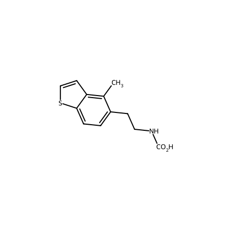 Cc1c(CCNC(=O)O)ccc2sccc12